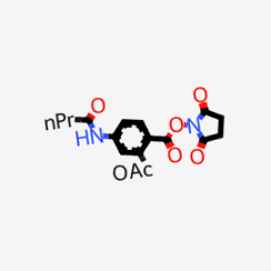 CCCC(=O)Nc1ccc(C(=O)ON2C(=O)CCC2=O)c(OC(C)=O)c1